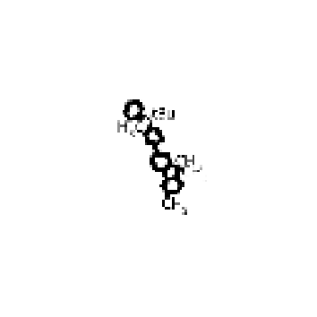 CC1C=C2C(=CC1)C(C)(C)c1cc(-c3ccc(N(C(C)(C)C)[C@]4(C)C=CC=CC4)cc3)ccc12